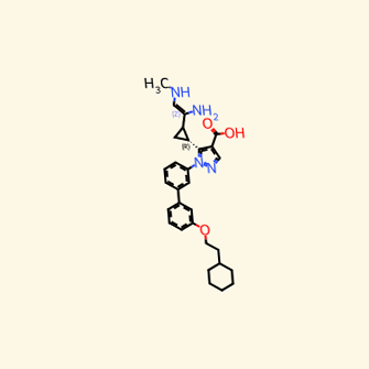 CN/C=C(\N)C1C[C@H]1c1c(C(=O)O)cnn1-c1cccc(-c2cccc(OCCC3CCCCC3)c2)c1